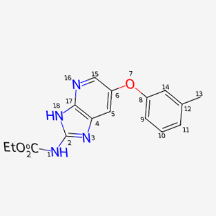 CCOC(=O)Nc1nc2cc(Oc3cccc(C)c3)cnc2[nH]1